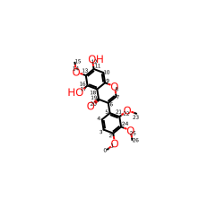 COc1ccc(-c2coc3cc(O)c(OC)c(O)c3c2=O)c(OC)c1OC